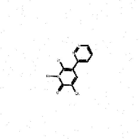 CCc1c(-c2cccnn2)cc(C#N)c(=O)n1CC